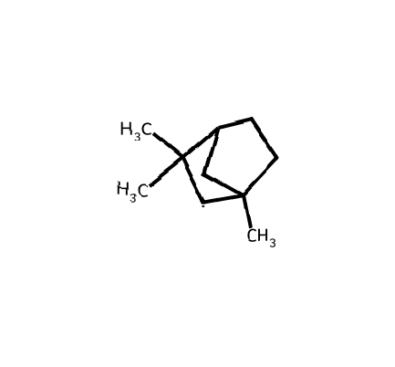 CC12[CH]C(C)(C)C(CC1)C2